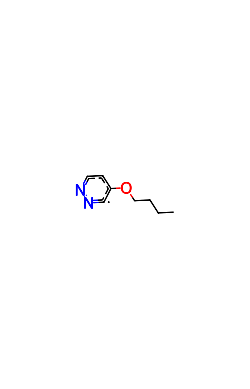 CCCCOc1[c]nncc1